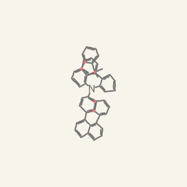 CC1(C)c2ccccc2-c2cccc(N(c3ccc(-c4cccc5cccc(-c6ccccc6)c45)cc3)c3ccccc3-c3ccccc3)c21